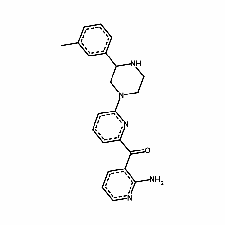 Cc1cccc(C2CN(c3cccc(C(=O)c4cccnc4N)n3)CCN2)c1